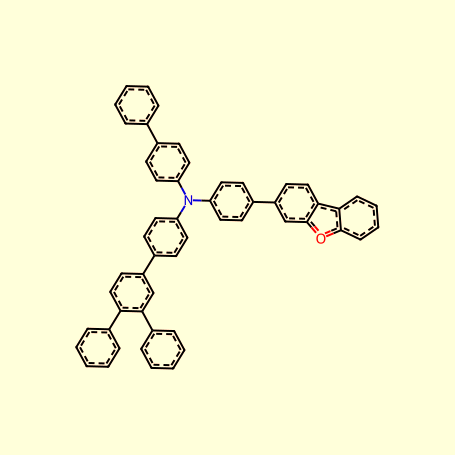 c1ccc(-c2ccc(N(c3ccc(-c4ccc(-c5ccccc5)c(-c5ccccc5)c4)cc3)c3ccc(-c4ccc5c(c4)oc4ccccc45)cc3)cc2)cc1